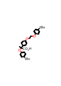 CC(C)(C)c1ccc(OCCOc2ccc(C(C)(Oc3ccc(C(C)(C)C)cc3)C(=O)O)cc2)cc1